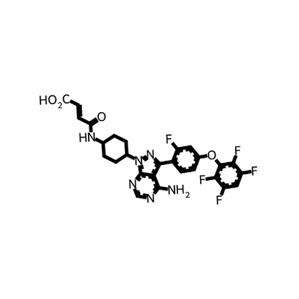 Nc1ncnc2c1c(-c1ccc(Oc3c(F)c(F)cc(F)c3F)cc1F)nn2C1CCC(NC(=O)C=CC(=O)O)CC1